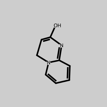 OC1=CCN2C=CC=CC2=N1